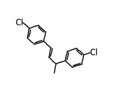 CC(/C=C/c1ccc(Cl)cc1)c1ccc(Cl)cc1